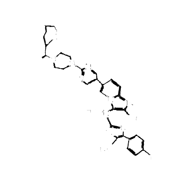 CCc1nc2ccc(-c3cnc(N4CCN(C(=O)C5CCCN5)CC4)nc3)cn2c1N(C)c1nc(-c2ccc(F)cc2)c(C#N)s1